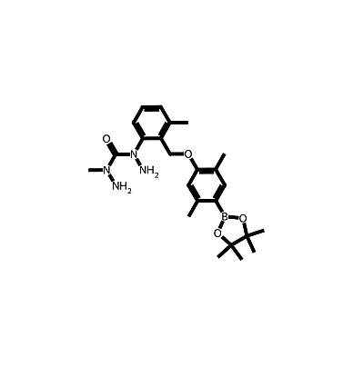 Cc1cc(B2OC(C)(C)C(C)(C)O2)c(C)cc1OCc1c(C)cccc1N(N)C(=O)N(C)N